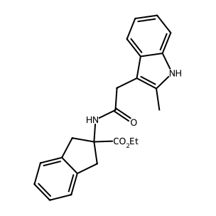 CCOC(=O)C1(NC(=O)Cc2c(C)[nH]c3ccccc23)Cc2ccccc2C1